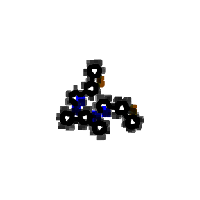 c1cc(-c2ccc3sc4ccccc4c3c2)nc(-n2c3ccccc3c3cc4c5ccccc5n(-c5cccc(-c6ccc7sc8ccccc8c7c6)n5)c4cc32)c1